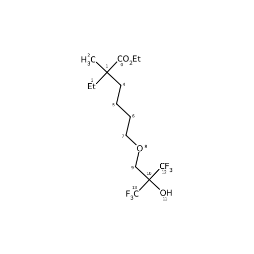 CCOC(=O)C(C)(CC)CCCCOCC(O)(C(F)(F)F)C(F)(F)F